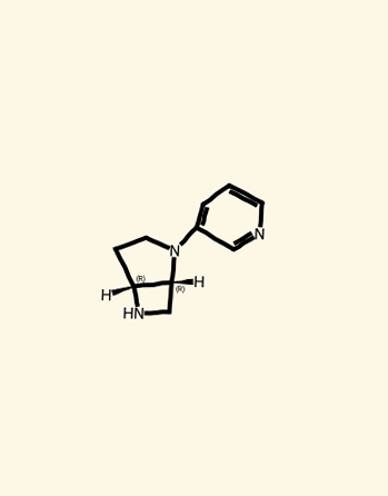 c1cncc(N2CC[C@H]3NC[C@H]32)c1